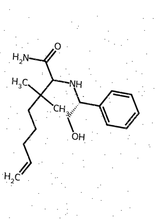 C=CCCCC(C)(C)C(N[C@@H](CO)c1ccccc1)C(N)=O